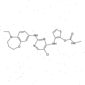 CCN1CCCOc2cc(Nc3ncc(Cl)c(Nc4ccsc4OC(=O)NC)n3)ccc21